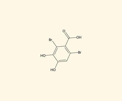 O=C(O)c1c(Br)cc(O)c(O)c1Br